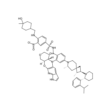 CC(C)c1ccccc1[C@H]1CCCCN1[C@@H]1C[C@@]2(CCN(c3ccc(C(=O)NS(=O)(=O)c4ccc(NCC5CCC(C)(O)CC5)c([N+](=O)[O-])c4)c(N4c5cc6cc[nH]c6nc5O[C@H]5COCC[C@@H]54)c3)[C@@H](C)C2)[C@H]1C